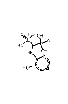 O=P(O)(O)C(Nc1ncccc1O)P(=O)(O)O